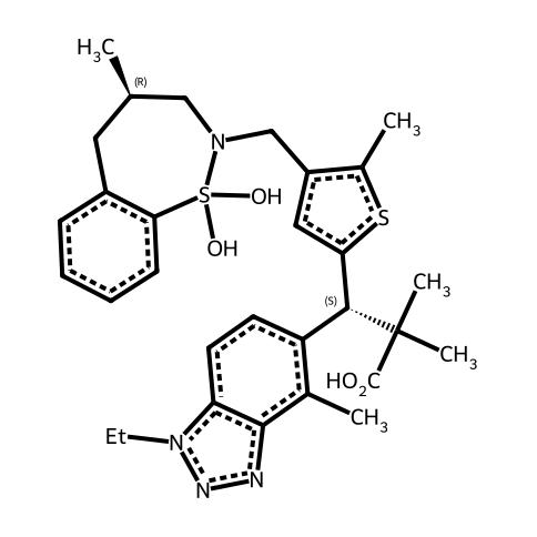 CCn1nnc2c(C)c([C@H](c3cc(CN4C[C@H](C)Cc5ccccc5S4(O)O)c(C)s3)C(C)(C)C(=O)O)ccc21